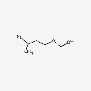 CCC(C)CCOCO